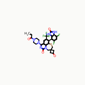 C=CC(=O)N1CCN(c2nc(=O)n3c4c(c(-c5c(F)cc(F)c6[nH]c(=O)[nH]c56)c(C(F)(F)F)cc24)SCC2(CC(=O)C2)C3)CC1